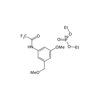 CCO[PH](=O)OCC.COCc1cc(NC(=O)C(F)(F)F)cc(OC)c1